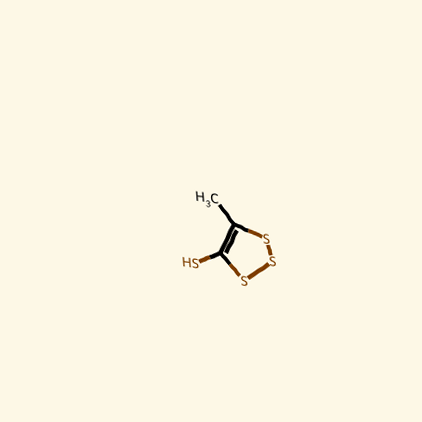 CC1=C(S)SSS1